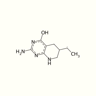 C[CH]C1CNc2nc(N)nc(O)c2C1